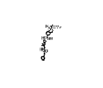 CO[C@@](C)([C@H]1CCc2cc(C(=N)NC3CC4(C3)CC(F)(CNC(=O)OCc3ccccc3)C4)ccc2O1)C(C)(C)C